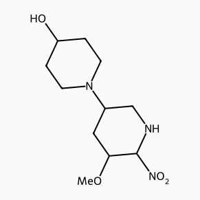 COC1CC(N2CCC(O)CC2)CNC1[N+](=O)[O-]